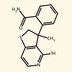 [2H]c1nccc2c1C(C)(c1ccccc1C(N)=O)CS2